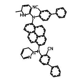 CC1C=CC=C(N(c2ccc(-c3ccccc3)cc2C#N)c2ccc3ccc4c(N(c5ccc(-c6ccccc6)cc5C#N)[C@@H]5CC=CC=N5)ccc5ccc2c3c54)N1